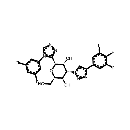 OC[C@H]1O[C@@H](c2nncn2-c2cc(F)cc(Cl)c2)[C@H](O)[C@@H](n2cc(-c3cc(F)c(F)c(F)c3)nn2)[C@H]1O